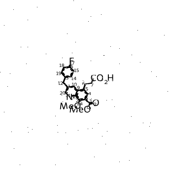 COC(=O)c1cc(CCC(=O)O)c2cc(Cc3ccc(F)cc3)cnc2c1OC